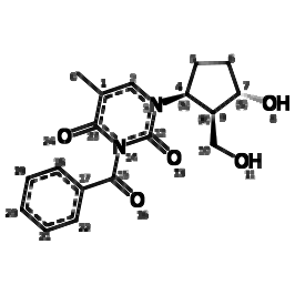 Cc1cn([C@H]2CC[C@H](O)[C@H]2CO)c(=O)n(C(=O)c2ccccc2)c1=O